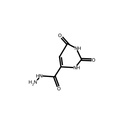 NNC(=O)c1cc(=O)[nH]c(=O)[nH]1